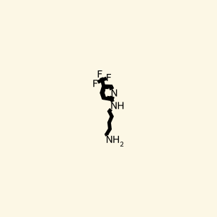 NCCCCCNc1ccc(C(F)(F)F)cn1